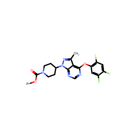 Cc1nn(C2CCN(C(=O)OC(C)C)CC2)c2ncnc(Oc3cc(F)c(F)cc3F)c12